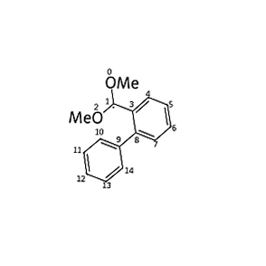 CO[C](OC)c1ccccc1-c1ccccc1